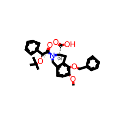 COc1ccc2c(c1OCc1ccccc1)C[C@@H](C(=O)O)N(C(=O)[C@H](OC(C)(C)C)c1ccccc1)C2